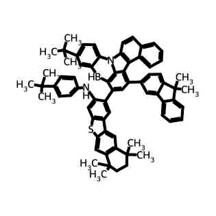 CC(C)(C)c1ccc(Nc2cc3sc4cc5c(cc4c3cc2-c2cc(-c3ccc4c(c3)-c3ccccc3C4(C)C)c3c4c6ccccc6ccc4n4c3c2Bc2cc(C(C)(C)C)ccc2-4)C(C)(C)CCC5(C)C)cc1